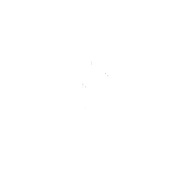 Cc1nccc(C2(O)CCC2)n1